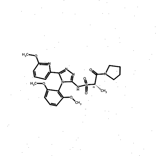 COc1cccc(-c2nnc(NS(=O)(=O)[C@@H](C)C(=O)N3CCCC3)n2-c2c(OC)cccc2OC)n1